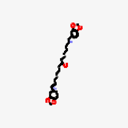 O=C(CCCCC/C=C/c1ccc2c(c1)OCO2)CCCCC/C=C/c1ccc2c(c1)OCO2